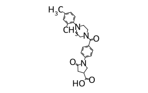 Cc1ccc(N2CCN(C(=O)c3ccc(N4CC(C(=O)O)CC4=O)cc3)CC2)c(C)c1